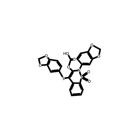 O=C(O)OC1=C(Sc2ccc3c(c2)OCO3)c2ccccc2S(=O)(=O)N1c1ccc2c(c1)OCO2